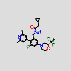 Cc1cc(-c2c(F)cc(N3CCO[C@@H](C(F)(F)F)C3)cc2CNC(=O)CC2CC2)cc(C)n1